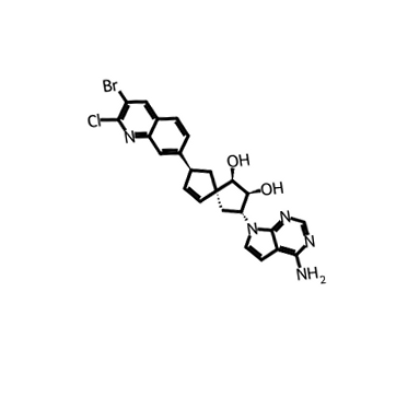 Nc1ncnc2c1ccn2[C@@H]1C[C@@]2(C=C[C@@H](c3ccc4cc(Br)c(Cl)nc4c3)C2)[C@@H](O)[C@H]1O